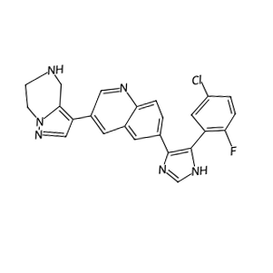 Fc1ccc(Cl)cc1-c1[nH]cnc1-c1ccc2ncc(-c3cnn4c3CNCC4)cc2c1